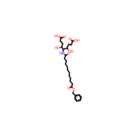 O=C(O)CCC(O)C(NC(=O)CCCCCCCCCCC(=O)OCc1ccccc1)C(O)CCC(=O)O